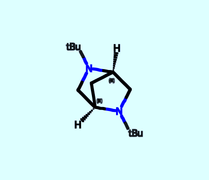 CC(C)(C)N1C[C@H]2C[C@@H]1CN2C(C)(C)C